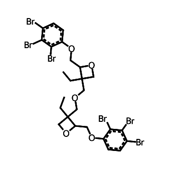 CCC1(COCC2(CC)COC2COc2ccc(Br)c(Br)c2Br)COC1COc1ccc(Br)c(Br)c1Br